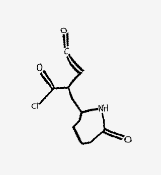 O=C=CC(C(=O)Cl)C1CCC(=O)N1